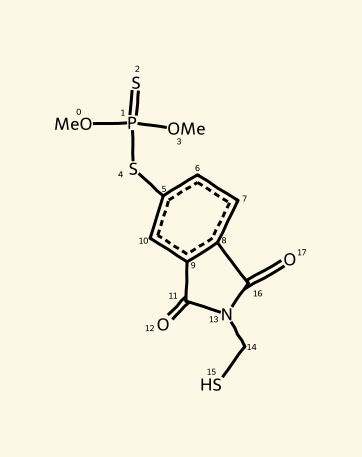 COP(=S)(OC)Sc1ccc2c(c1)C(=O)N(CS)C2=O